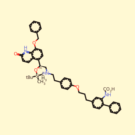 CC(C)(C)[Si](C)(C)O[C@H](CNCCc1ccc(OCCCc2ccc(-c3ccccc3)c(NC(=O)O)c2)cc1)c1ccc(OCc2ccccc2)c2[nH]c(=O)ccc12